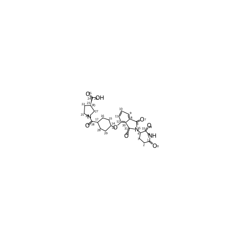 O=C1CCC(N2C(=O)c3cccc(OC4CCC(C(=O)N5CC[C@@H](C(=O)O)C5)CC4)c3C2=O)C(=O)N1